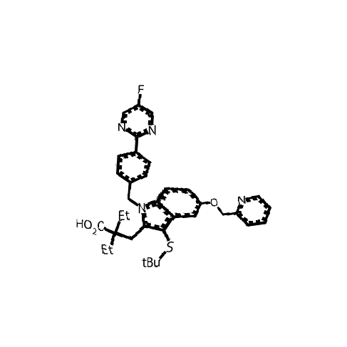 CCC(CC)(Cc1c(SC(C)(C)C)c2cc(OCc3ccccn3)ccc2n1Cc1ccc(-c2ncc(F)cn2)cc1)C(=O)O